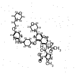 CC(c1cnn(C)c1[N+](=O)[O-])N(c1cnc2cc(N3CCOCC3)nc(OC3CCC(Nc4ncc(OCCN5CCOCC5)cn4)CC3)c2c1)S(C)(=O)=O